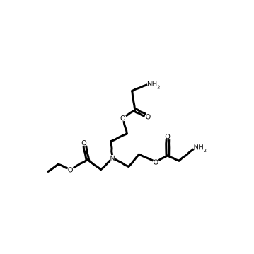 CCOC(=O)CN(CCOC(=O)CN)CCOC(=O)CN